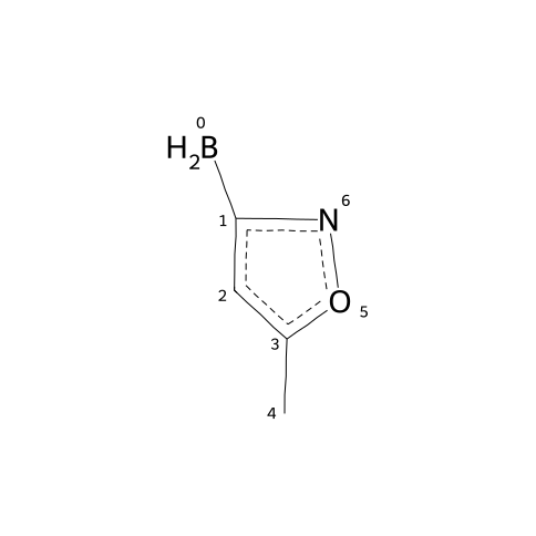 Bc1cc(C)on1